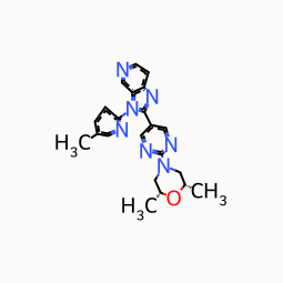 Cc1ccc(-n2c(-c3cnc(N4C[C@@H](C)O[C@@H](C)C4)nc3)nc3ccncc32)nc1